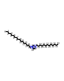 CCCCCCCCCCCCCCCCCN1C=CN(CCCCCCCCCCCCC)C1